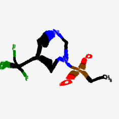 CCS(=O)(=O)N1C=C(C(F)(F)F)C=NC1